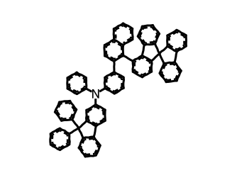 c1ccc(N(c2cccc(-c3ccc4ccccc4c3-c3cccc4c3-c3ccccc3C43c4ccccc4-c4ccccc43)c2)c2ccc3c(c2)C(c2ccccc2)(c2ccccc2)c2ccccc2-3)cc1